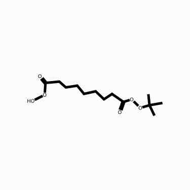 CC(C)(C)OOC(=O)CCCCCCCC(=O)OO